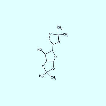 CC1(C)OCC(C2OC3OC(C)(C)OC3C2O)O1